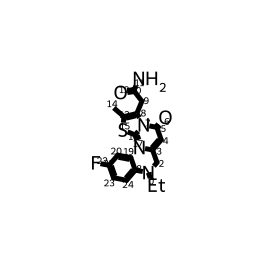 CCN(Cc1cc(=O)n2c(CC(N)=O)c(C)sc2n1)c1ccc(F)cc1